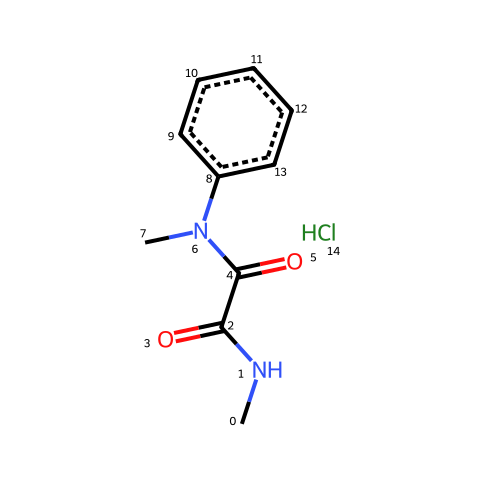 CNC(=O)C(=O)N(C)c1ccccc1.Cl